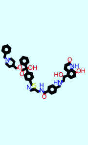 O=C(NCc1cnc(-c2ccc(C(O)(C(=O)OCC3CCN(Cc4ccccc4)CC3)c3ccccc3)cc2)s1)c1ccc(CNC[C@H](O)c2ccc(O)c3[nH]c(=O)ccc23)cc1